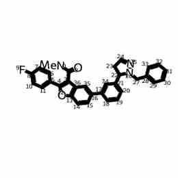 CNC(=O)c1c(-c2ccc(F)cc2)oc2ccc(-c3cccc(C4CC=NN4Cc4ccccc4)c3)cc12